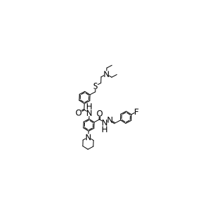 CCN(CC)CCSCc1cccc(C(=O)Nc2ccc(N3CCCCC3)cc2C(=O)N/N=C/c2ccc(F)cc2)c1